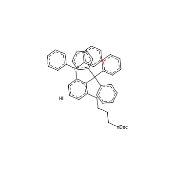 CCCCCCCCCCCCCCc1cccc(P(c2ccccc2)c2ccccc2)c1C(c1ccccc1)(c1ccccc1)c1ccccc1.I